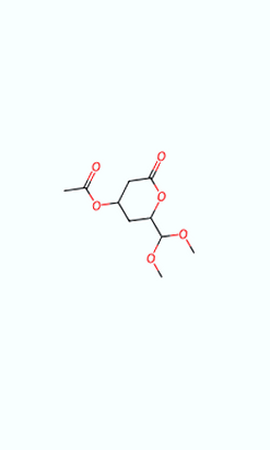 COC(OC)C1CC(OC(C)=O)CC(=O)O1